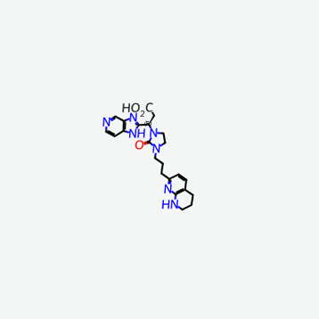 O=C(O)C[C@H](c1nc2cnccc2[nH]1)N1CCN(CCCc2ccc3c(n2)NCCC3)C1=O